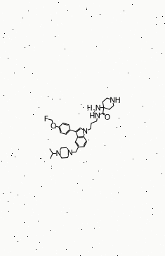 CC(C)N1CCN(Cc2ccc3c(c2)c(-c2ccc(OCF)cc2)cn3CCCNC(=O)C2(N)CCNCC2)CC1